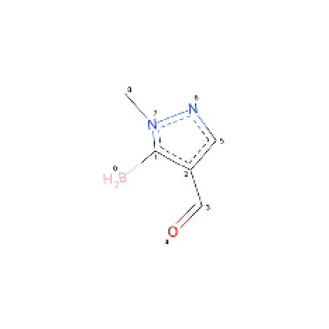 Bc1c(C=O)cnn1C